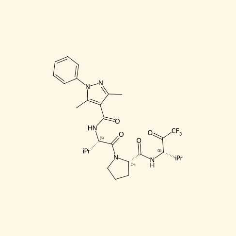 Cc1nn(-c2ccccc2)c(C)c1C(=O)N[C@H](C(=O)N1CCC[C@H]1C(=O)N[C@H](C(=O)C(F)(F)F)C(C)C)C(C)C